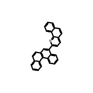 c1ccc2c(c1)ccc1ccc(-c3cc4ccc5ccccc5c4c4ccccc34)nc12